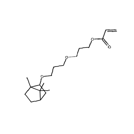 C=CC(=O)OCCCOCCCOC1CC2CCC1(C)C2(C)C